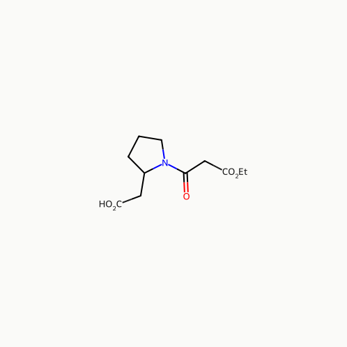 CCOC(=O)CC(=O)N1CCCC1CC(=O)O